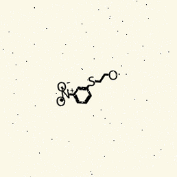 [O]CCSc1cccc([N+](=O)[O-])c1